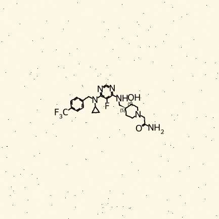 NC(=O)CN1CC[C@@H](CNc2ncnc(N(Cc3ccc(C(F)(F)F)cc3)C3CC3)c2F)[C@H](O)C1